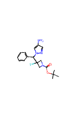 CC(C)(C)OC(=O)N1CC(F)(C(c2ccccc2)n2cc(N)cn2)C1